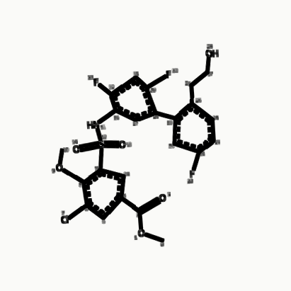 COC(=O)c1cc(Cl)c(OC)c(S(=O)(=O)Nc2cc(-c3cc(F)ccc3CCO)c(F)cc2F)c1